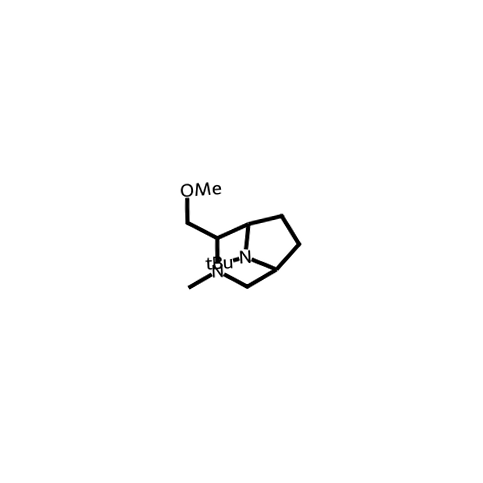 COCC1C2CCC(CN1C)N2C(C)(C)C